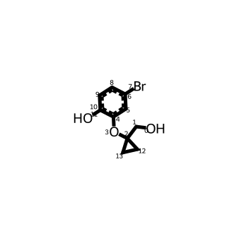 OCC1(Oc2cc(Br)ccc2O)CC1